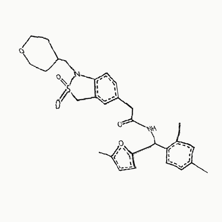 Cc1ccc(C(NC(=O)Cc2ccc3c(c2)CS(=O)(=O)N3CC2CCOCC2)c2ccc(C)o2)c(C)c1